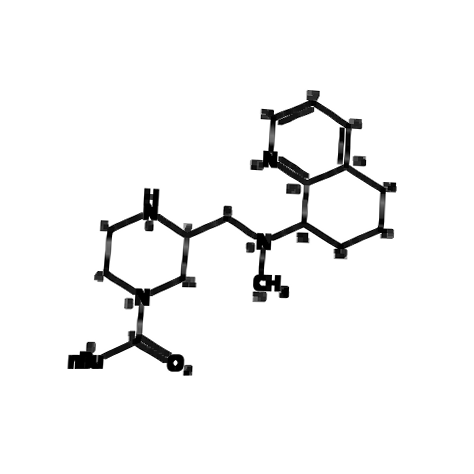 CCCCC(=O)N1CCNC(CN(C)C2CCCc3cccnc32)C1